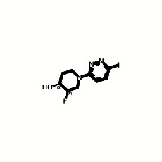 O[C@H]1CCN(c2ccc(I)nn2)C[C@H]1F